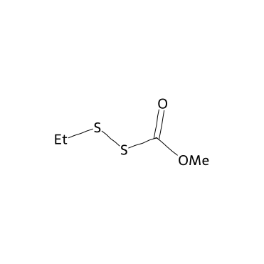 [CH2]OC(=O)SSCC